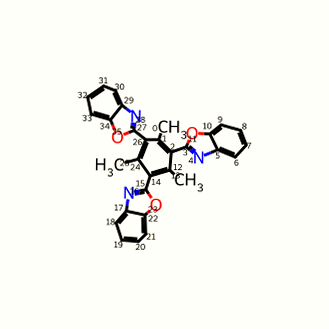 Cc1c(-c2nc3ccccc3o2)c(C)c(-c2nc3ccccc3o2)c(C)c1-c1nc2ccccc2o1